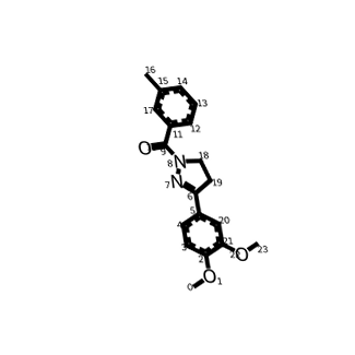 COc1ccc(C2=NN(C(=O)c3cccc(C)c3)CC2)cc1OC